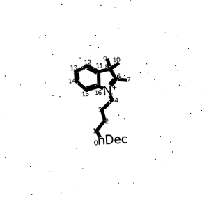 CCCCCCCCCCCCCC[N+]1=C(C)C(C)(C)c2ccccc21